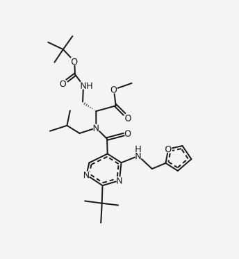 COC(=O)[C@@H](CNC(=O)OC(C)(C)C)N(CC(C)C)C(=O)c1cnc(C(C)(C)C)nc1NCc1ccco1